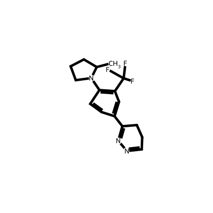 CC1CCCN1c1ccc(C2=NN=CCC2)cc1C(F)(F)F